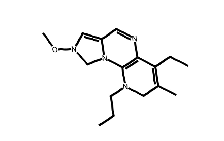 CCCN1CC(C)=C(CC)C2=C1N1CN(OC)C=C1C=N2